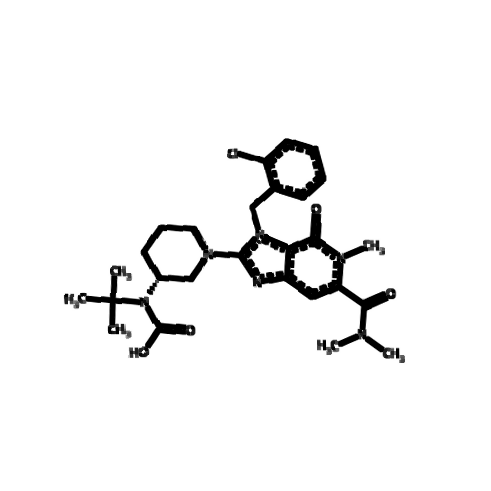 CN(C)C(=O)c1cc2nc(N3CCC[C@@H](N(C(=O)O)C(C)(C)C)C3)n(Cc3ccccc3Cl)c2c(=O)n1C